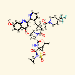 C=CC1C[C@]1(NC(=O)[C@@H]1C[C@@H](Oc2cc(-c3ccccn3)nc3cc(OC)ccc23)CN1C(=O)[C@@H](CC(=O)N1CCC(C(F)(F)F)CC1)C(C)(C)C)C(=O)N(C1CC1)[SH](=O)=O